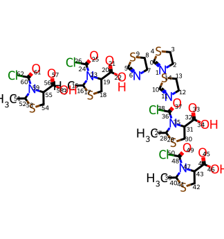 C1=NCCS1.C1=NCCS1.C1=NCCS1.CC1SCC(C(=O)O)N1C(=O)Cl.CC1SCC(C(=O)O)N1C(=O)Cl.CC1SCC(C(=O)O)N1C(=O)Cl.CC1SCC(C(=O)O)N1C(=O)Cl